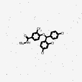 CC(C)(C)NC(=O)c1ccc(OC(c2ccc(Cl)cc2)c2ccc(Cl)cc2Cl)c(C(F)(F)F)c1